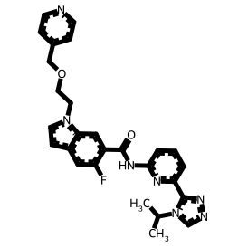 CC(C)n1cnnc1-c1cccc(NC(=O)c2cc3c(ccn3CCOCc3ccncc3)cc2F)n1